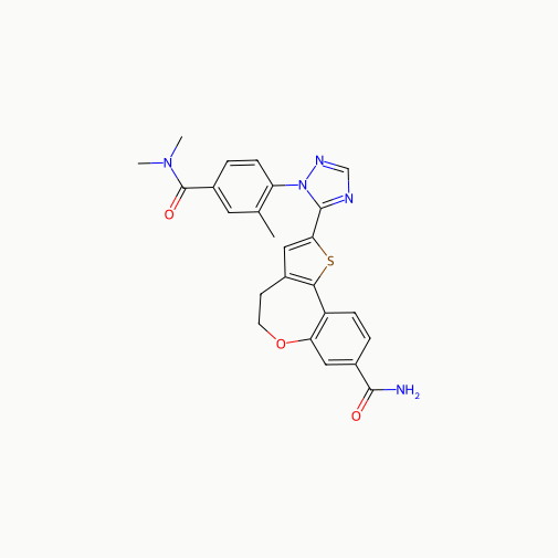 Cc1cc(C(=O)N(C)C)ccc1-n1ncnc1-c1cc2c(s1)-c1ccc(C(N)=O)cc1OCC2